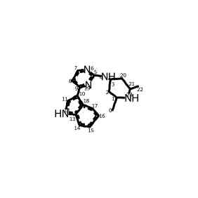 CC1CC(Nc2nccc(-c3c[nH]c4ccccc34)n2)CC(C)N1